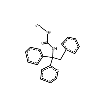 CCCNC(=O)NC(Cc1ccccc1)(c1ccccc1)c1ccccn1